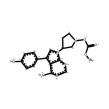 CC(C)(C)OC(=O)ON1CCC(n2cc(-c3ccc(O)cc3)c3c(N)ncnc32)C1